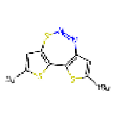 CC(C)(C)c1cc2c(s1)-c1sc(C(C)(C)C)cc1SN=N2